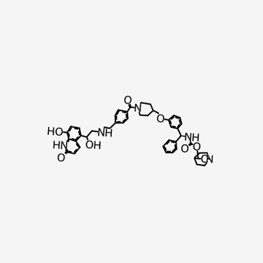 O=C(N[C@@H](c1ccccc1)c1cccc(OCC2CCN(C(=O)c3ccc(CCNCC(O)c4ccc(O)c5[nH]c(=O)ccc45)cc3)CC2)c1)OC1CN2CCC1CC2